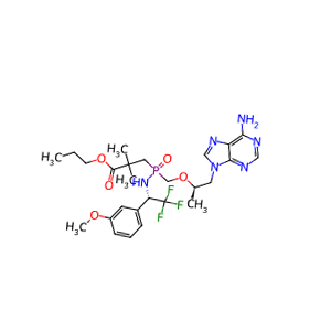 CCCOC(=O)C(C)(C)CP(=O)(CO[C@H](C)Cn1cnc2c(N)ncnc21)N[C@@H](c1cccc(OC)c1)C(F)(F)F